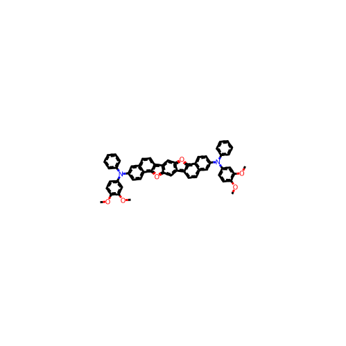 COc1ccc(N(c2ccccc2)c2ccc3c(ccc4c5cc6oc7c8ccc(N(c9ccccc9)c9ccc(OC)c(OC)c9)cc8ccc7c6cc5oc34)c2)cc1OC